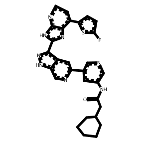 O=C(CC1CCCCC1)Nc1cncc(-c2cc3c(-c4nc5c(-c6ccc(F)s6)ccnc5[nH]4)n[nH]c3cn2)c1